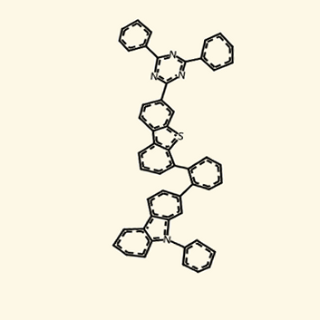 c1ccc(-c2nc(-c3ccccc3)nc(-c3ccc4c(c3)sc3c(-c5ccccc5-c5ccc6c7ccccc7n(-c7ccccc7)c6c5)cccc34)n2)cc1